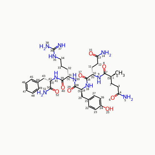 C[C@@H](CCC(N)=O)C(=O)N[C@@H](CCC(N)=O)C(=O)N[C@@H](Cc1ccc(O)cc1)C(=O)N[C@@H](CCCNC(=N)N)C(=O)N[C@@H](Cc1ccccc1)C(N)=O